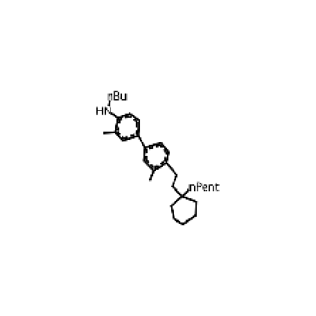 CCCCCC1(CCc2ccc(-c3ccc(NCCCC)c(C)c3)cc2C)CCCCC1